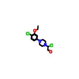 CCOc1cc(N2CCN(C(Cl)C=O)CC2)ccc1Cl